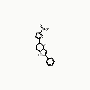 O=[N+]([O-])c1ccc(C2CCN3NC(c4ccccc4)=CC3N2)o1